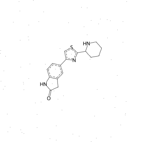 O=C1Cc2cc(-c3csc(C4CCCCN4)n3)ccc2N1